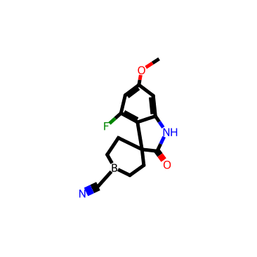 COc1cc(F)c2c(c1)NC(=O)C21CCB(C#N)CC1